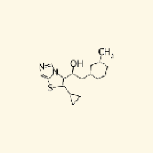 CC1CCCC(CC(O)c2c(C3CC3)sc3cncn23)C1